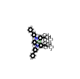 CC(C)(C)c1ccc(N(c2ccc(C3CCCCC3)cc2)c2cccc(N(c3ccc(C4CCCCC4)cc3)c3ccc(C(C)(C)C)cc3)c2Cl)cc1